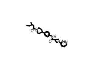 CCC(C)CC(=O)N1CCC(c2ccc(NC(=O)C3CN(c4cccnn4)C3)cc2)CC1